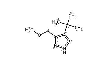 COCc1n[nH]cc1C(C)(C)C